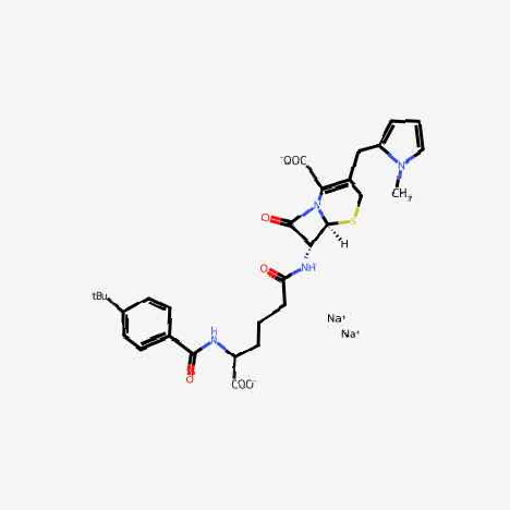 Cn1cccc1CC1=C(C(=O)[O-])N2C(=O)[C@@H](NC(=O)CCCC(NC(=O)c3ccc(C(C)(C)C)cc3)C(=O)[O-])[C@@H]2SC1.[Na+].[Na+]